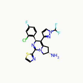 N[C@H]1CC2=C(c3ccn(C(F)F)n3)[C@H](c3ccc(F)cc3Cl)N=C(c3nccs3)N2C1